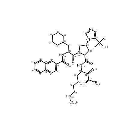 CC(C)(O)c1cnnn1[C@H]1C[C@@H](C(=O)NC(CCCCNC(=O)O)C(=O)C(N)=O)N(C(=O)C(CC2CCCCC2)NC(=O)c2ccc3ccncc3c2)C1